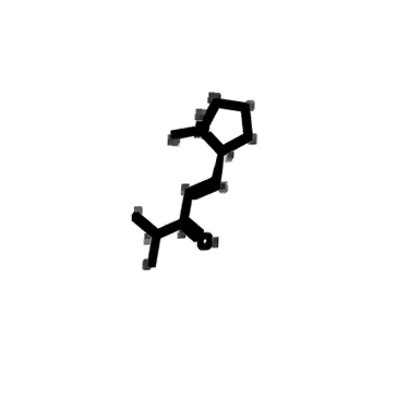 CC(C)C(=O)/C=C/[C@@H]1CCCN1C